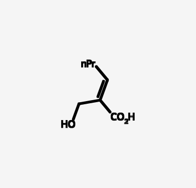 CCCC=C(CO)C(=O)O